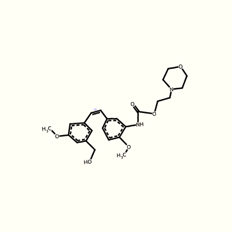 COc1cc(/C=C\c2ccc(OC)c(NC(=O)OCCN3CCOCC3)c2)cc(CO)c1